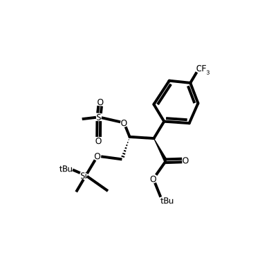 CC(C)(C)OC(=O)[C@H](c1ccc(C(F)(F)F)cc1)[C@H](CO[Si](C)(C)C(C)(C)C)OS(C)(=O)=O